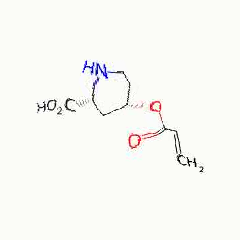 C=CC(=O)O[C@H]1CN[C@@H](C(=O)O)C1